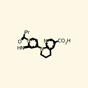 CC(C)C(=O)n1ccc(N2CCCc3cc(C(=O)O)cnc32)cc1=N